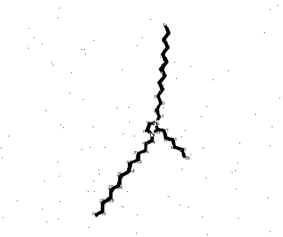 CCCCCCCCCCCCCCN1C=CN(CCCCCCCCCCCCCC)C1CCCCCC